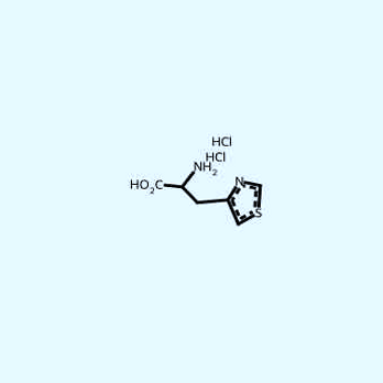 Cl.Cl.NC(Cc1cscn1)C(=O)O